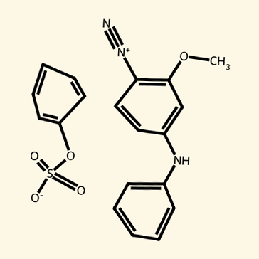 COc1cc(Nc2ccccc2)ccc1[N+]#N.O=S(=O)([O-])Oc1ccccc1